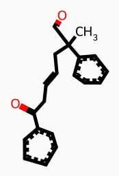 CC(C=O)(CC=CCC(=O)c1ccccc1)c1ccccc1